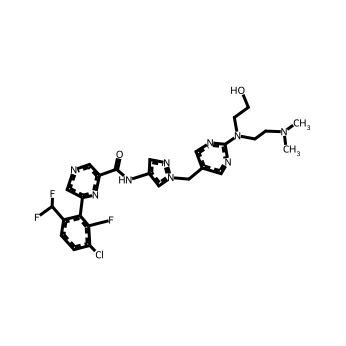 CN(C)CCN(CCO)c1ncc(Cn2cc(NC(=O)c3cncc(-c4c(C(F)F)ccc(Cl)c4F)n3)cn2)cn1